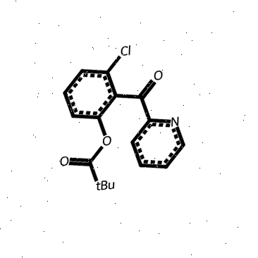 CC(C)(C)C(=O)Oc1cccc(Cl)c1C(=O)c1ccccn1